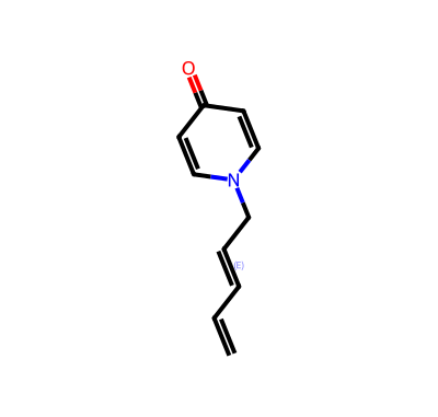 C=C/C=C/Cn1ccc(=O)cc1